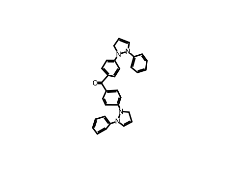 O=C(c1ccc(N2CC=CN2c2ccccc2)cc1)c1ccc(N2CC=CN2c2ccccc2)cc1